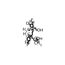 CC[n+]1c(C=CC=C2N(C)c3ccc(C(F)(F)F)cc3N2CCC(C)S(=O)(=O)O)n(CCO)c2cc(C(F)(F)F)c(Cl)cc21